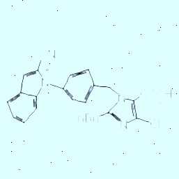 CCCCc1nc(Cl)c(C(=O)O)n1Cc1ccc(-n2c(C#N)cc3ccccc32)cc1